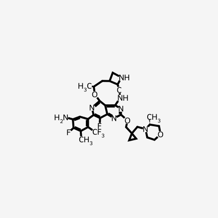 Cc1c(F)c(N)cc(-c2nc3c4c(nc(OCC5(CN6CCOC[C@H]6C)CC5)nc4c2F)NCC2NCC2C[C@H](C)O3)c1C(F)(F)F